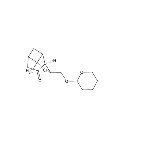 CC1(C)C2CC(=O)[C@H](CCOC3CCCCO3)C1C2